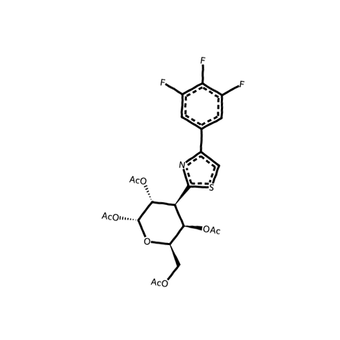 CC(=O)OC[C@H]1O[C@H](OC(C)=O)[C@H](OC(C)=O)[C@@H](c2nc(-c3cc(F)c(F)c(F)c3)cs2)[C@H]1OC(C)=O